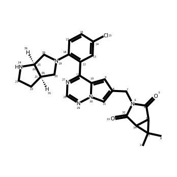 CC1(C)C2C(=O)N(Cc3cc4c(-c5cc(Cl)ccc5N5C[C@H]6CCN[C@H]6C5)ncnn4c3)C(=O)C21